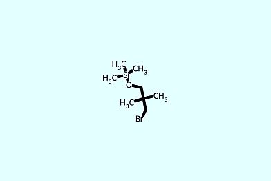 CC(C)(CBr)CO[Si](C)(C)C